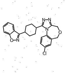 Clc1ccc2c(c1)COCc1nnc(C3CCC(c4noc5ccccc45)CC3)n1-2